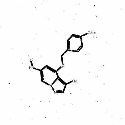 CCNc1cc(OCc2ccc(OC)cc2)c2c(C#N)cnn2c1